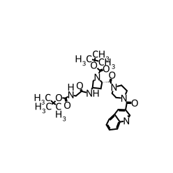 CC(C)(C)OC(=O)NCC(=O)NC1C[C@@H](C(=O)N2CCN(C(=O)c3cnc4ccccc4c3)CC2)N(C(=O)OC(C)(C)C)C1